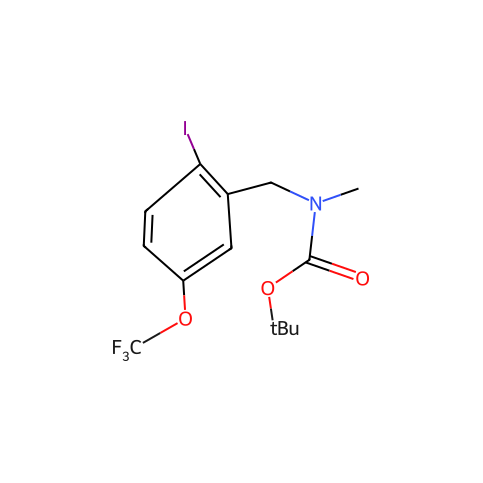 CN(Cc1cc(OC(F)(F)F)ccc1I)C(=O)OC(C)(C)C